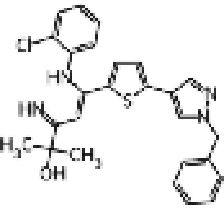 CC(C)(O)C(=N)/C=C(\Nc1ccccc1Cl)c1ccc(-c2cnn(Cc3ccccc3)c2)s1